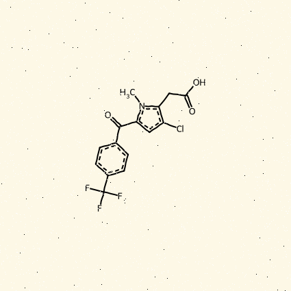 Cn1c(C(=O)c2ccc(C(F)(F)F)cc2)cc(Cl)c1CC(=O)O